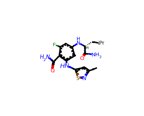 Cc1cc(Nc2cc(N[C@H](CC(C)C)C(N)=O)cc(F)c2C(N)=O)sn1